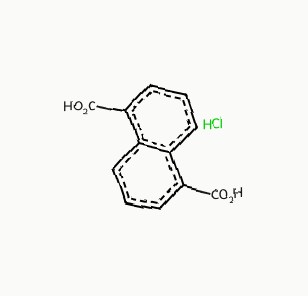 Cl.O=C(O)c1cccc2c(C(=O)O)cccc12